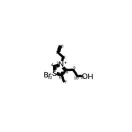 C=CC[n+]1csc(C)c1CCO.[Br-]